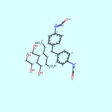 O=C(O)CCCCC(=O)O.O=C=Nc1ccc(Cc2ccc(N=C=O)cc2)cc1.OCCCCO.OCCO